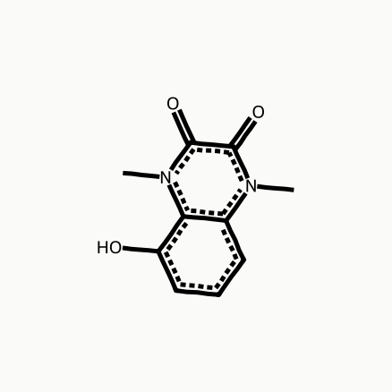 Cn1c(=O)c(=O)n(C)c2c(O)cccc21